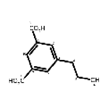 O=C(O)c1cc(CCO)cc(C(=O)O)c1